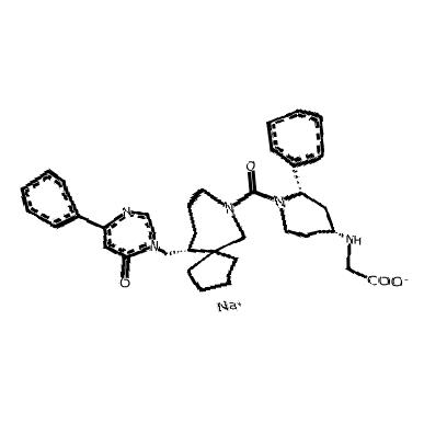 O=C([O-])CN[C@@H]1CCN(C(=O)N2CC[C@@H](Cn3cnc(-c4ccccc4)cc3=O)C3(CCCC3)C2)[C@H](c2ccccc2)C1.[Na+]